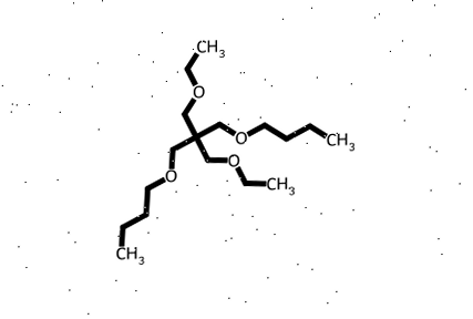 CCCCOCC(COCC)(COCC)COCCCC